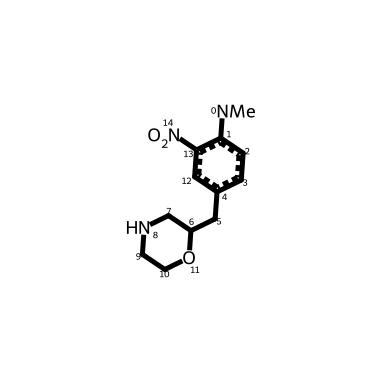 CNc1ccc(CC2CNCCO2)cc1[N+](=O)[O-]